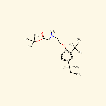 CCC(C)(C)c1ccc(OCCN(C)CC(=O)OC(C)(C)C)c(C(C)(C)CC)c1